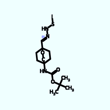 CC(C)(C)OC(=O)NC12CCC(/C=N/NSI)(CC1)OC2